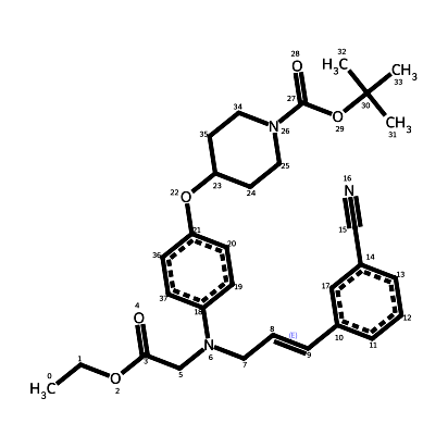 CCOC(=O)CN(C/C=C/c1cccc(C#N)c1)c1ccc(OC2CCN(C(=O)OC(C)(C)C)CC2)cc1